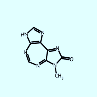 Cn1c2ncnc3[nH]cnc3c-2nc1=O